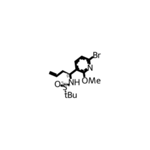 C=CC[C@H](N[S@+]([O-])C(C)(C)C)c1ccc(Br)nc1OC